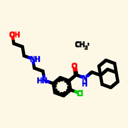 O=C(NCC12CCCC(CCC1)C2)c1cc(NCCNCCCO)ccc1Cl.[CH2]